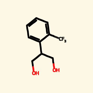 OCC(CO)c1ccccc1C(F)(F)F